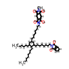 CCCCCCCCC1C(CCCCCC)CC(CCCCCCCCn2c(=O)c3cc4c(=O)n(C)c(=O)c4cc3c2=O)CC1CCCCCCCCN1C(=O)C2C3C=CC(C3)C2C1=O